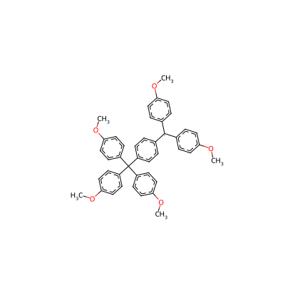 COc1ccc([C](c2ccc(OC)cc2)c2ccc(C(c3ccc(OC)cc3)(c3ccc(OC)cc3)c3ccc(OC)cc3)cc2)cc1